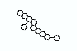 c1ccc(-c2ccc3cc4cc5ccc6c(ccc7cc8cc9ccccc9cc8c(-c8ccccc8)c76)c5cc4cc3c2)cc1